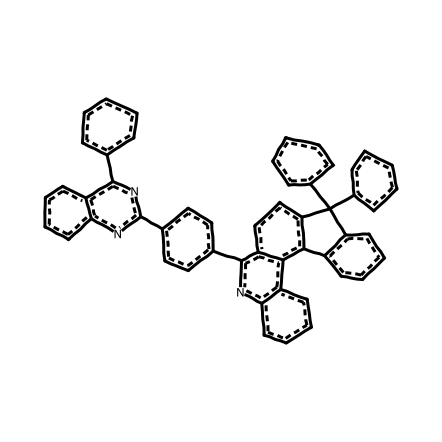 c1ccc(-c2nc(-c3ccc(-c4nc5ccccc5c5c6c(ccc45)C(c4ccccc4)(c4ccccc4)c4ccccc4-6)cc3)nc3ccccc23)cc1